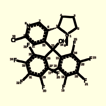 CN1CCC[C@H]1c1cnc(Cl)cc1C(O)(c1c(F)c(F)c(F)c(F)c1F)c1c(F)c(F)c(F)c(F)c1F